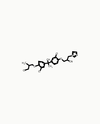 CC(CCl)COc1ccc(C(C)(C)c2ccc(OCC(C#N)Cn3ccnc3)c(Cl)c2)cc1Cl